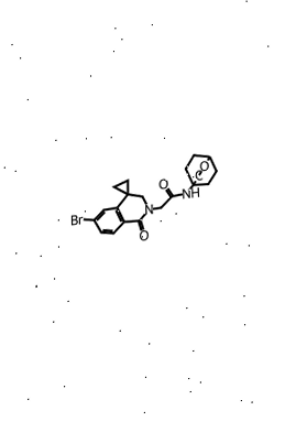 O=C(CN1CC2(CC2)c2cc(Br)ccc2C1=O)NC12CCC(CC1)OC2